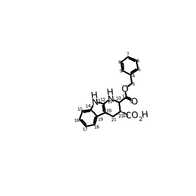 O=C(OCc1ccccc1)C1Nc2[nH]c3ccccc3c2C[C@@H]1C(=O)O